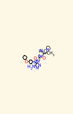 CC(C)(C=C(C#N)C(=O)N1CC[C@H]1Cn1c(=O)n(-c2ccc(Oc3ccccc3)cc2)c2c(N)ncnc21)N1CCCCC1